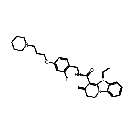 CCN1C2=C(C(=O)NCc3ccc(OCCCN4CCCCC4)cc3F)C(=O)CCN2c2ccccc21